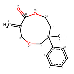 C=C1COCC(C)(c2ccccc2)CCOC1=O